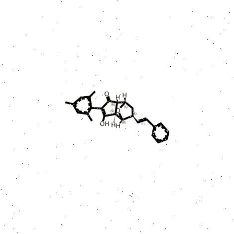 Cc1cc(C)c(C2=C(O)[C@@H]3[C@@H]4O[C@@H](C[C@H]4/C=C/c4ccccc4)[C@@H]3C2=O)c(C)c1